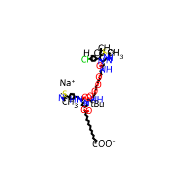 Cc1ncsc1-c1ccc(CNC(=O)[C@@H]2C[C@@H](OC(=O)CCCCCCCCCCCCC(=O)[O-])CN2C(=O)[C@@H](NC(=O)COCCOCCOCCNC(=O)C[C@@H]2N=C(c3ccc(Cl)cc3)c3c(sc(C)c3C)-n3c(C)nnc32)C(C)(C)C)cc1.[Na+]